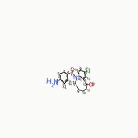 Nc1ccc(C(=O)N2CCCCC(=O)c3cc(Cl)ccc32)cc1